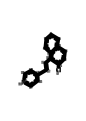 Clc1ccc2ccccc2c1C=Cc1ccncc1